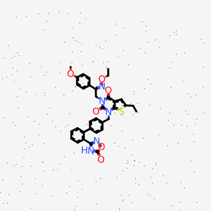 CCO/N=C(/Cn1c(=O)c2cc(CC)sc2n(Cc2ccc(-c3ccccc3-c3noc(=O)[nH]3)cc2)c1=O)c1ccc(OC)cc1